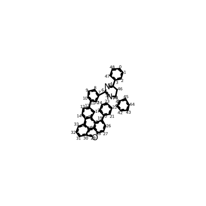 c1ccc(C2=NC(c3cccc(-c4ccc5c(c4)c4c(-c6ccccc6)ccc6oc7cccc5c7c64)c3)=N[C@@H](c3ccccc3)C2)cc1